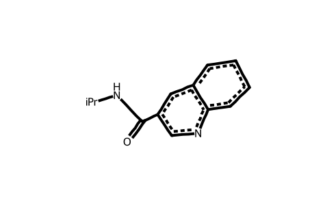 CC(C)NC(=O)c1cnc2ccccc2c1